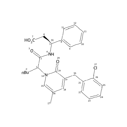 CCCCC(C(=O)N[C@@H](CC(=O)O)c1ccccc1)n1cc(C)cc(Cc2ccccc2Cl)c1=O